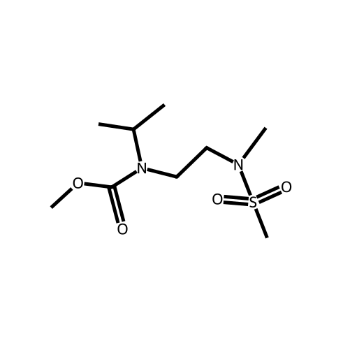 COC(=O)N(CCN(C)S(C)(=O)=O)C(C)C